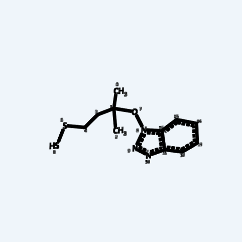 CC(C)(CCSS)On1nnc2ccccc21